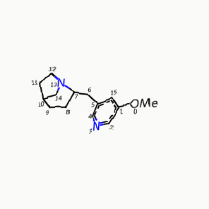 COc1cncc(CC2CCC3CCN2C3)c1